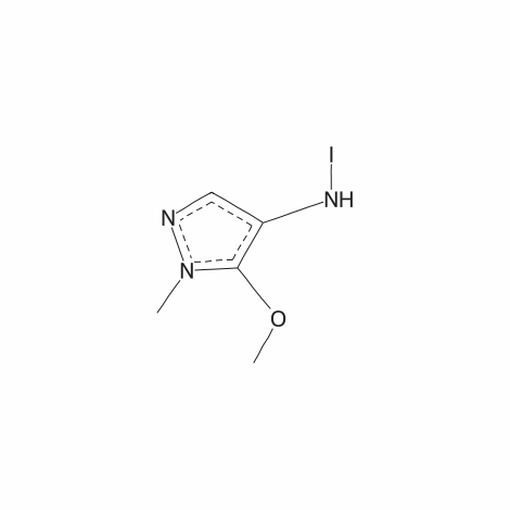 COc1c(NI)cnn1C